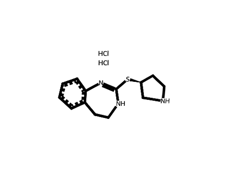 Cl.Cl.c1ccc2c(c1)CCNC(S[C@H]1CCNC1)=N2